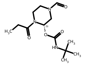 CCC(=O)N1CCN(C=O)C[C@@H]1OC(=O)NC(C)(C)C